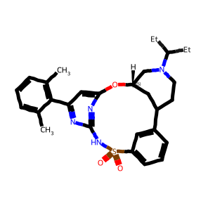 CCC(CC)N1CCC2C[C@@H](C1)Oc1cc(-c3c(C)cccc3C)nc(n1)NS(=O)(=O)c1cccc2c1